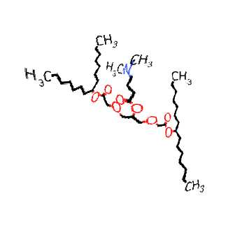 CCCCCCCC(CCCCCCC)OC(=O)COCC(COCC(=O)OC(CCCCCCC)CCCCCCC)OC(=O)CCCN(C)C